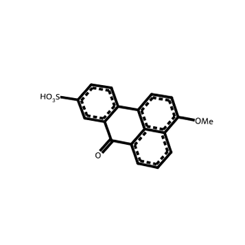 COc1ccc2c3c(cccc13)C(=O)c1cc(S(=O)(=O)O)ccc1-2